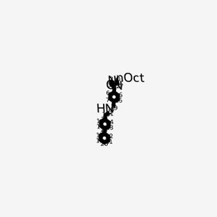 CCCCCCCCc1noc(-c2ccc(CNCCc3ccc(-c4ccccc4)cc3)cc2)n1